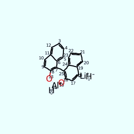 [H-].[H-].[Li+].c1ccc2c3c(ccc2c1)[O][Al+][O]c1ccc2ccccc2c1-3